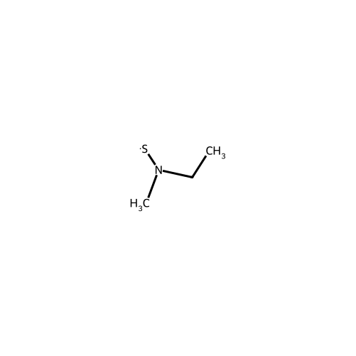 CCN(C)[S]